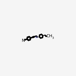 CCC[C@H]1CC[C@H](/C=C/C#Cc2ccc(C#N)cc2)CC1